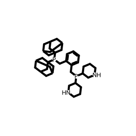 c1ccc(CP(C23CC4CC(CC(C4)C2)C3)C23CC4CC(CC(C4)C2)C3)c(CP(C2CCCNC2)C2CCCNC2)c1